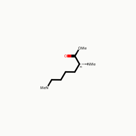 CNCCCC[C@@H](NC)C(=O)OC